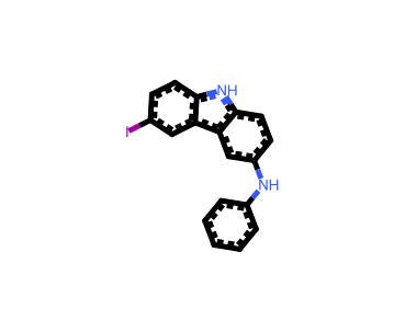 Ic1ccc2[nH]c3ccc(Nc4ccccc4)cc3c2c1